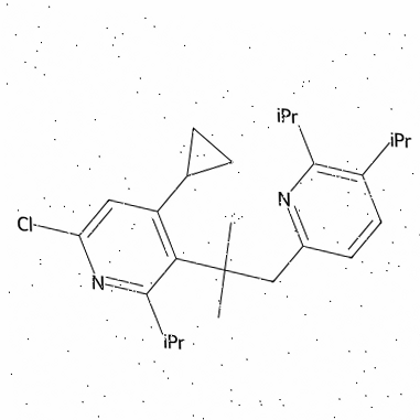 CC(C)c1ccc(CC(C)(C)c2c(C3CC3)cc(Cl)nc2C(C)C)nc1C(C)C